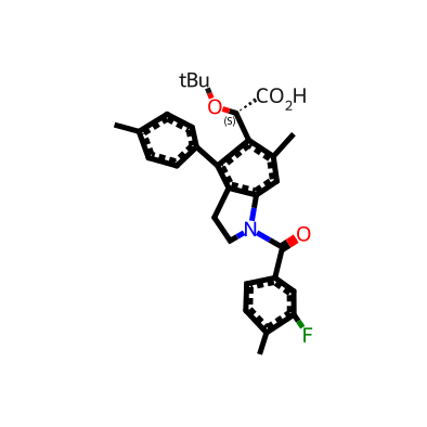 Cc1ccc(-c2c3c(cc(C)c2[C@H](OC(C)(C)C)C(=O)O)N(C(=O)c2ccc(C)c(F)c2)CC3)cc1